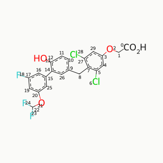 O=C(O)COc1cc(Cl)c(Cc2ccc(O)c(-c3cc(F)cc(OC(F)F)c3)c2)c(Cl)c1